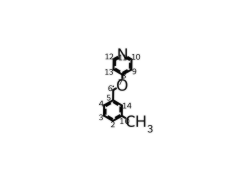 Cc1cccc([CH]Oc2ccncc2)c1